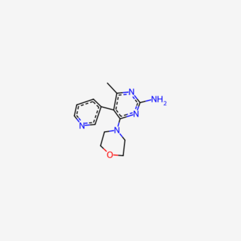 Cc1nc(N)nc(N2CCOCC2)c1-c1cccnc1